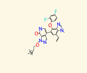 C=Cc1cc(-c2cn(C)c(=O)c3c2cnn3COCC[Si](C)(C)C)c(Oc2ccc(F)cc2F)c2ncn(C)c12